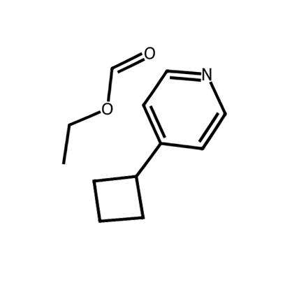 CCOC=O.c1cc(C2CCC2)ccn1